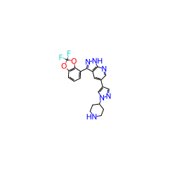 FC1(F)Oc2cccc(-c3n[nH]c4ncc(-c5cnn(C6CCNCC6)c5)cc34)c2O1